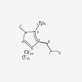 CCCC1=[C]([Ti+2])C(C)C=C1.[Cl-].[Cl-]